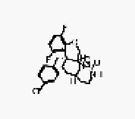 O=S1(=O)NCC[C@@H]2CC[C@@]3(Cc4ccc(Cl)cc4)c4c(F)ccc(F)c4OC[C@H]3N21